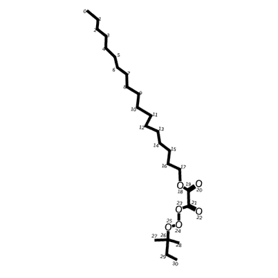 CCCCCCCCCCCCCCCCCCOC(=O)C(=O)OOOC(C)(C)CC